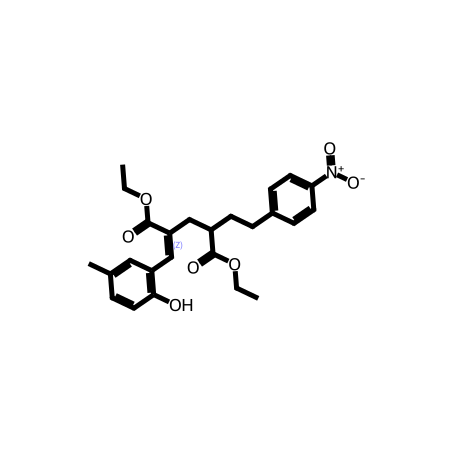 CCOC(=O)/C(=C\c1cc(C)ccc1O)CC(CCc1ccc([N+](=O)[O-])cc1)C(=O)OCC